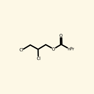 CCCC(=O)OCC(Cl)CCl